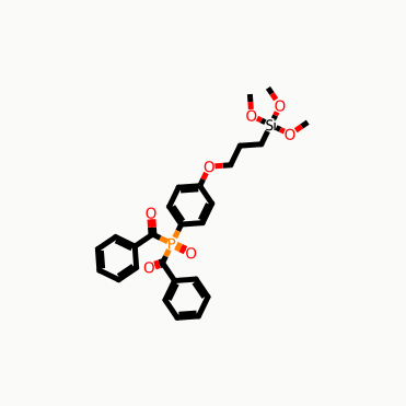 CO[Si](CCCOc1ccc(P(=O)(C(=O)c2ccccc2)C(=O)c2ccccc2)cc1)(OC)OC